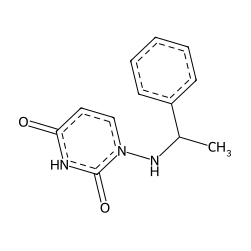 CC(Nn1ccc(=O)[nH]c1=O)c1ccccc1